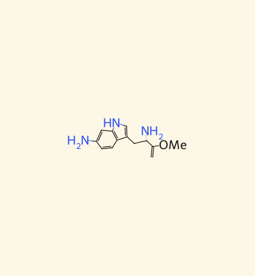 C=C(OC)[C@@H](N)Cc1c[nH]c2cc(N)ccc12